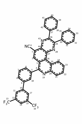 N#Cc1cc2c(-c3cccc(-c4cc(C(F)(F)F)cc(C(F)(F)F)c4)c3)nc3ccccc3c2c2nc(-c3ccccc3)c(-c3ccccc3)nc12